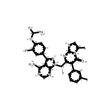 Cc1cccc(-c2c([C@H](C)n3nc(-c4ccc(OC(F)P)c(F)c4)c4c(N)ncnc43)nc3scc(C)n3c2=O)c1